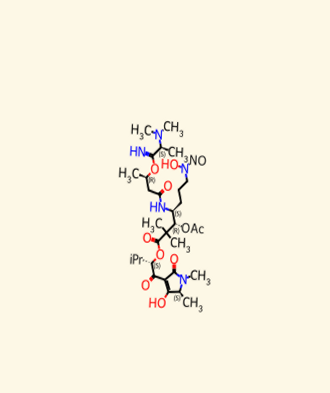 CC(=O)O[C@@H]([C@H](CCCN(O)N=O)NC(=O)C[C@@H](C)OC(=N)[C@H](C)N(C)C)C(C)(C)C(=O)O[C@H](C(=O)C1=C(O)[C@H](C)N(C)C1=O)C(C)C